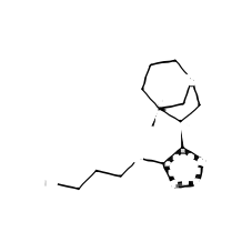 CC(C)CCCSc1nsnc1[C@@H]1CN2CCC[C@@H]1C2